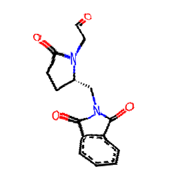 O=CCN1C(=O)CC[C@H]1CN1C(=O)c2ccccc2C1=O